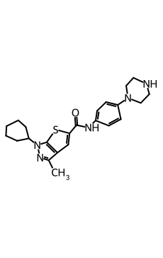 Cc1nn(C2CCCCC2)c2sc(C(=O)Nc3ccc(N4CCNCC4)cc3)cc12